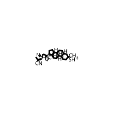 C[C@@]1(S)CC[C@H]2[C@H](CC[C@@H]3[C@@H]2CC[C@]2(C)[C@@H](C(=O)Cn4cc(C#N)cn4)CC[C@@H]32)C1